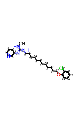 N#CN/C(=N\c1cccnc1)NCCCCCCCCCCCCOc1ccccc1Cl